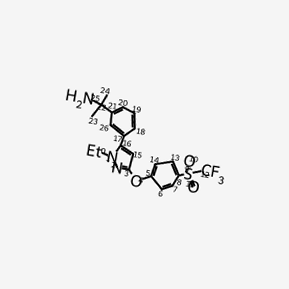 CCn1nc(Oc2ccc(S(=O)(=O)C(F)(F)F)cc2)cc1-c1cccc(C(C)(C)N)c1